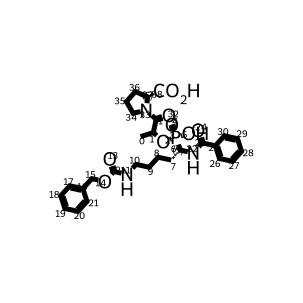 CC(OP(=O)(O)[C@@H](CCCCNC(=O)OCc1ccccc1)NC(=O)c1ccccc1)C(=O)N1CCC[C@H]1C(=O)O